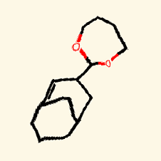 C1=C2CCCC(C2)CC1C1OCCCCO1